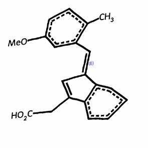 COc1ccc(C)c(/C=C2\C=C(CC(=O)O)c3ccccc32)c1